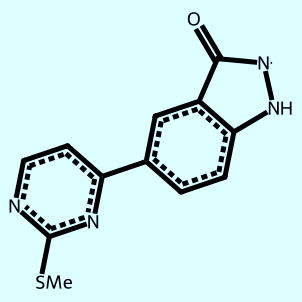 CSc1nccc(-c2ccc3c(c2)C(=O)[N]N3)n1